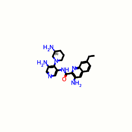 CCc1ccc2cc(N)c(C(=O)Nc3cncc(N)c3N3CCC[C@H](N)C3)nc2c1